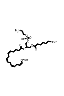 CCCCC/C=C\C/C=C\C/C=C\C/C=C\CCCC(=O)OC(COC(=O)CCCCCCCCCCCCCCC)COP(=O)(O)OCCN